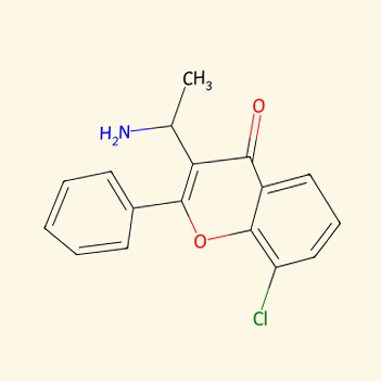 CC(N)c1c(-c2ccccc2)oc2c(Cl)cccc2c1=O